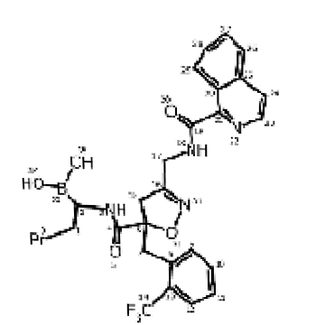 CC(C)CC(NC(=O)C1(Cc2ccccc2C(F)(F)F)CC(CNC(=O)c2nccc3ccccc23)=NO1)B(O)O